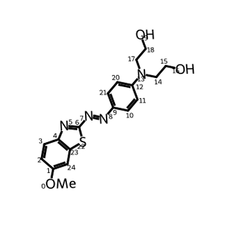 COc1ccc2nc(N=Nc3ccc(N(CCO)CCO)cc3)sc2c1